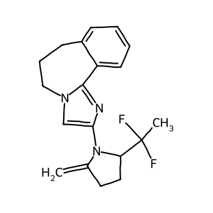 C=C1CCC(C(C)(F)F)N1c1cn2c(n1)-c1ccccc1CCC2